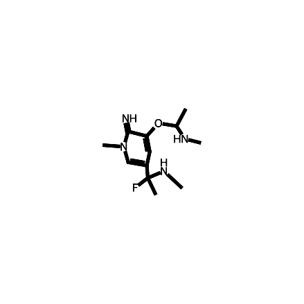 CNC(C)Oc1cc(C(C)(F)NC)cn(C)c1=N